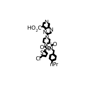 CCCc1ccc(CNC(=O)[C@H]2CN(c3cnc4cncc(C(=O)O)c4n3)CCN2S(=O)(=O)c2ccc(Cl)s2)cc1